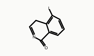 O=C1N=CCc2c(I)cccc21